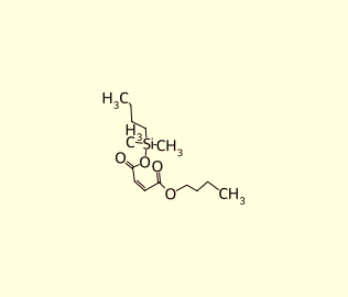 CCCCOC(=O)/C=C\C(=O)O[Si](C)(C)CCCC